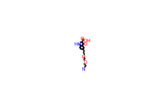 N#CCCOCCOCCCc1ccc2[nH]cc(C(=O)O)c(=O)c2c1